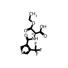 CCOC(=O)[C@H](NC(=O)c1cscc1C(F)(F)F)C(=O)O